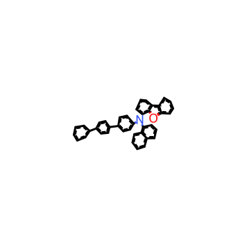 c1ccc(-c2ccc(-c3ccc(N(c4cccc5ccccc45)c4cccc5c4oc4ccccc45)cc3)cc2)cc1